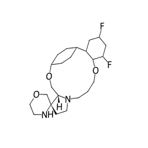 FC1CC(F)C2OCCCN3CC[C@@]4(COCCN4)[C@@H]3COC3CCC(CC3)C2C1